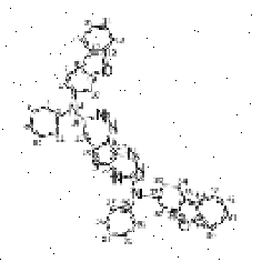 c1ccc(N(c2ccc3c(c2)oc2ccccc23)c2cc3sc4nc(N(c5ccccc5)c5ccc6c(c5)oc5ccccc56)nnc4c3nn2)cc1